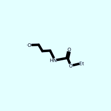 CCOC(=O)NCCC[O]